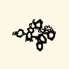 CC(C)(C)[Si](Oc1cccc(F)c1-c1cc2c(Nc3ccccc3)nnc(N3CCNCC3)c2cc1Cl)(c1ccccc1)c1ccccc1